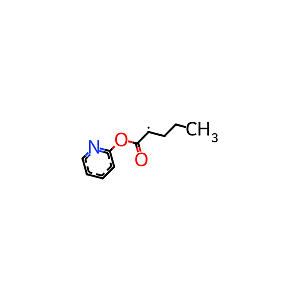 CCC[CH]C(=O)Oc1ccccn1